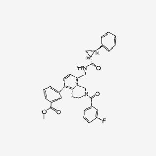 COC(=O)c1cccc(-c2ccc(CNC(=O)[C@@H]3C[C@H]3c3ccccc3)c3c2CCN(C(=O)c2cccc(F)c2)C3)c1